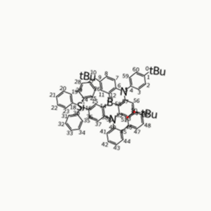 CC(C)(C)c1ccc(N2c3ccc(C(C)(C)C)cc3B3c4cc([Si](c5ccccc5)(c5ccccc5)c5ccccc5)ccc4N(c4ccccc4-c4ccccc4)c4cc(C(C)(C)C)cc2c43)cc1